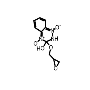 [O-][N+]1=c2ccccc2=[N+]([O-])C(O)(OCC2CO2)N1